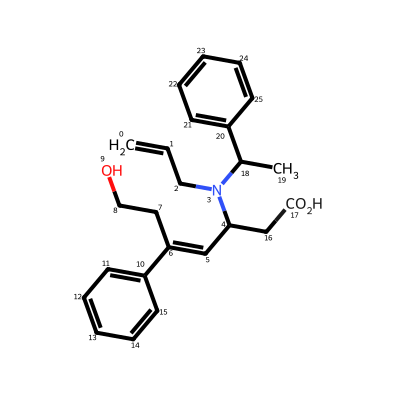 C=CCN(C(C=C(CCO)c1ccccc1)CC(=O)O)C(C)c1ccccc1